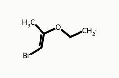 [CH2]COC(C)=CBr